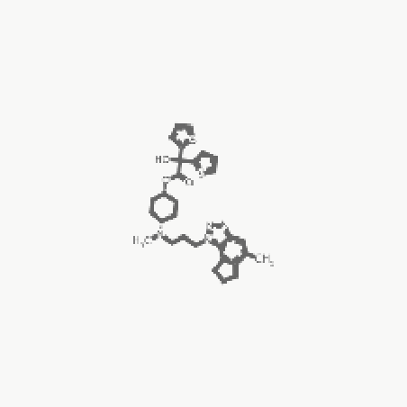 Cc1cc2nnn(CCCN(C)[C@H]3CC[C@H](OC(=O)C(O)(c4cccs4)c4cccs4)CC3)c2c2c1CCC2